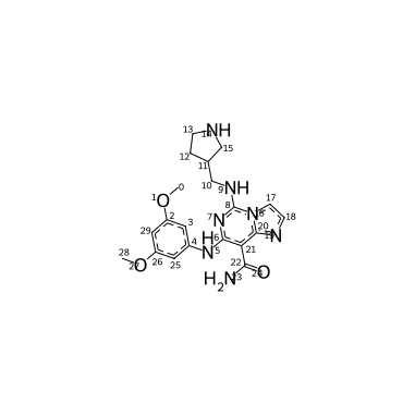 COc1cc(Nc2nc(NCC3CCNC3)n3ccnc3c2C(N)=O)cc(OC)c1